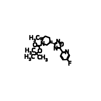 C[C@@H]1CC[C@H](c2noc(-c3ccc(F)cn3)n2)CN1C(=O)OC(C)(C)C